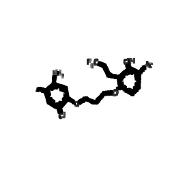 CC(=O)c1ccc(OCCCOc2cc(N)c(C)cc2Cl)c(CCC(F)(F)F)c1O